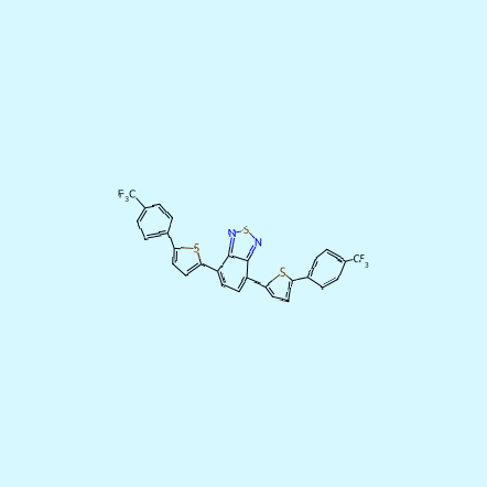 FC(F)(F)c1ccc(-c2ccc(-c3ccc(-c4ccc(-c5ccc(C(F)(F)F)cc5)s4)c4nsnc34)s2)cc1